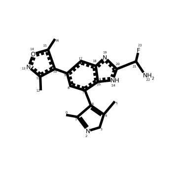 CC1=NCC(C)=C1c1cc(-c2c(C)noc2C)cc2nc(C(N)F)[nH]c12